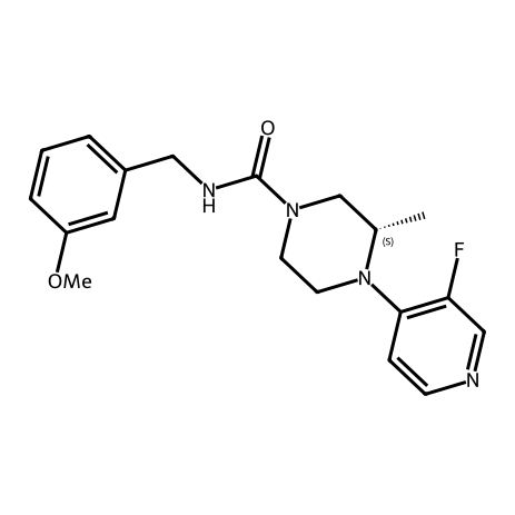 COc1cccc(CNC(=O)N2CCN(c3ccncc3F)[C@@H](C)C2)c1